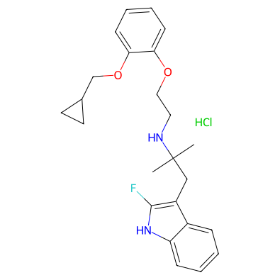 CC(C)(Cc1c(F)[nH]c2ccccc12)NCCOc1ccccc1OCC1CC1.Cl